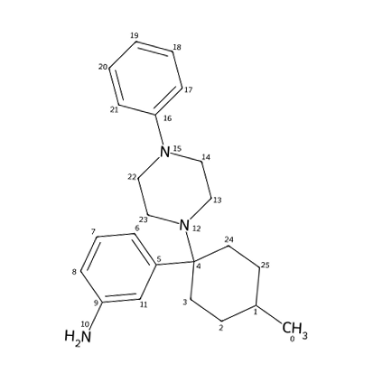 CC1CCC(c2cccc(N)c2)(N2CCN(c3ccccc3)CC2)CC1